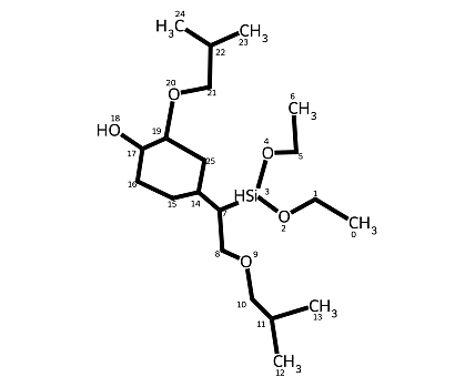 CCO[SiH](OCC)C(COCC(C)C)C1CCC(O)C(OCC(C)C)C1